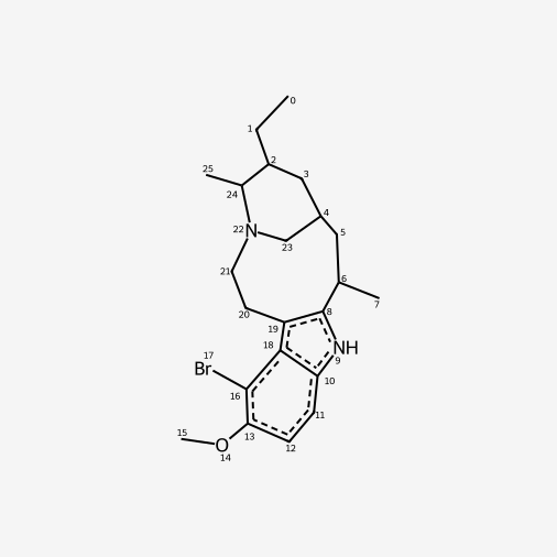 CCC1CC2CC(C)c3[nH]c4ccc(OC)c(Br)c4c3CCN(C2)C1C